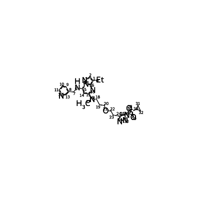 CCc1cnn2c(NCc3cccnc3)cc(N(C)CCCOCCc3cn(S(=O)(=O)C4CC4)nn3)nc12